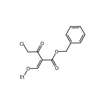 CCOC=C(C(=O)CCl)C(=O)OCc1ccccc1